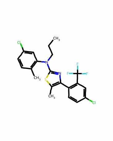 CCCN(c1nc(-c2ccc(Cl)cc2C(F)(F)F)c(C)s1)c1cc(Cl)ccc1C